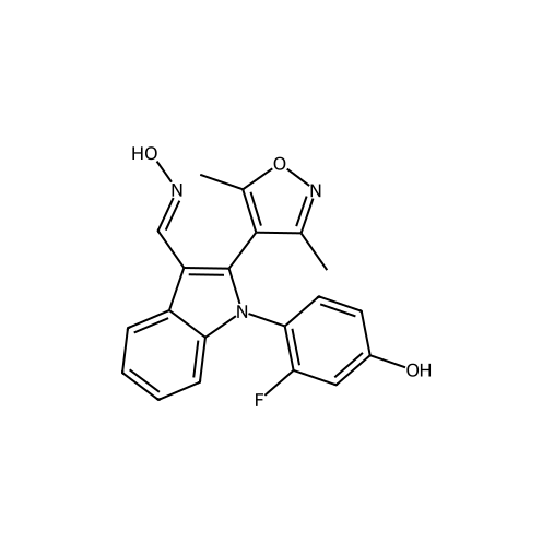 Cc1noc(C)c1-c1c(C=NO)c2ccccc2n1-c1ccc(O)cc1F